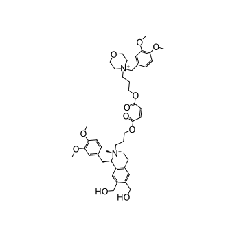 COc1ccc(C[C@@H]2c3cc(CO)c(CO)cc3CC[N@@+]2(C)CCCOC(=O)/C=C\C(=O)OCCC[N+]2(Cc3ccc(OC)c(OC)c3)CCOCC2)cc1OC